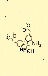 COC(Cc1ccc(C(C)(C(=O)O)c2ccc(CC(OC)OC)cc2N)c(N)c1)OC